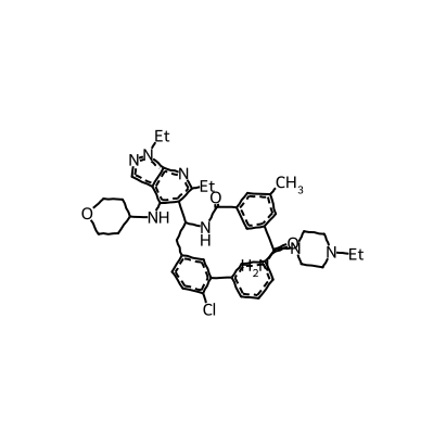 CCc1nc2c(cnn2CC)c(NC2CCOCC2)c1C(Cc1ccc(Cl)c(-c2cccc(CN3CCN(CC)CC3)c2)c1)NC(=O)c1cc(C)cc(C(N)=O)c1